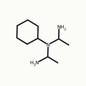 CC(N)N(C(C)N)C1CCCCC1